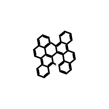 Ic1c(-c2c(I)c3ccccc3c3ccc4ccccc4c23)c2c3ccccc3ccc2c2ccccc12